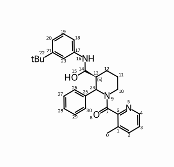 Cc1cccnc1C(=O)N1CCC[C@H](C(O)Nc2cccc(C(C)(C)C)c2)C1c1ccccc1